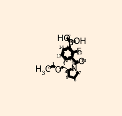 CCOC[C@H]1CCCN1C(=O)c1cccc(B(O)O)c1F